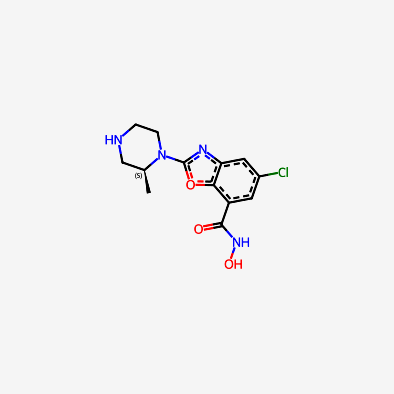 C[C@H]1CNCCN1c1nc2cc(Cl)cc(C(=O)NO)c2o1